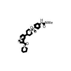 CNC(=O)Nc1ccc(S(=O)(=O)N2CCC(c3ccn4ncc(C(=O)N5CCCCC5)c4c3)CC2)cc1